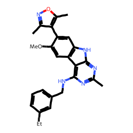 CCc1cccc(CNc2nc(C)nc3[nH]c4cc(-c5c(C)noc5C)c(OC)cc4c23)c1